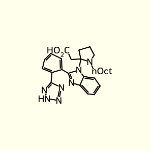 CCCCCCCCN1CCCC1(CC(=O)O)n1c(-c2ccccc2-c2nn[nH]n2)nc2ccccc21